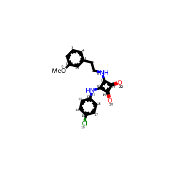 COc1cccc(CCNc2c(Nc3ccc(Cl)cc3)c(=O)c2=O)c1